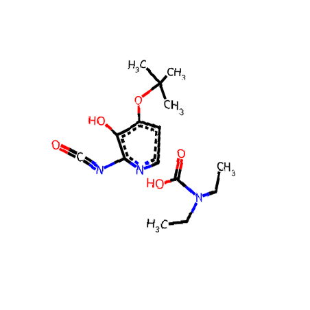 CC(C)(C)Oc1ccnc(N=C=O)c1O.CCN(CC)C(=O)O